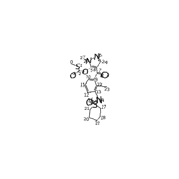 CSC(=O)Oc1c(C(=O)c2cccc(N=S3(=O)CCCCC3)c2C)cnn1C